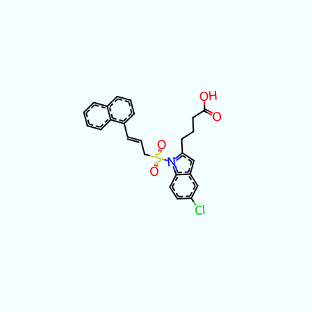 O=C(O)CCCc1cc2cc(Cl)ccc2n1S(=O)(=O)CC=Cc1cccc2ccccc12